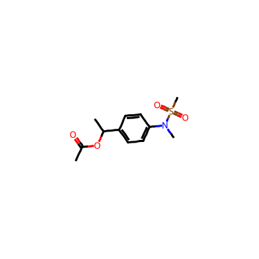 CC(=O)OC(C)c1ccc(N(C)S(C)(=O)=O)cc1